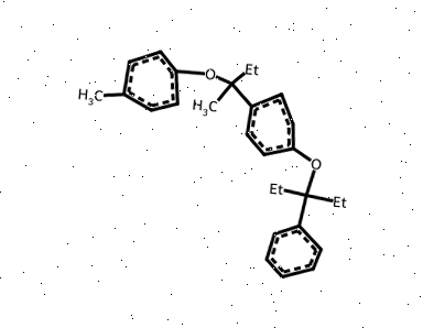 CCC(C)(Oc1ccc(C)cc1)c1ccc(OC(CC)(CC)c2ccccc2)cc1